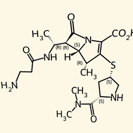 C[C@@H](NC(=O)CCN)[C@H]1C(=O)N2C(C(=O)O)=C(S[C@@H]3CN[C@H](C(=O)N(C)C)C3)[C@H](C)[C@H]12